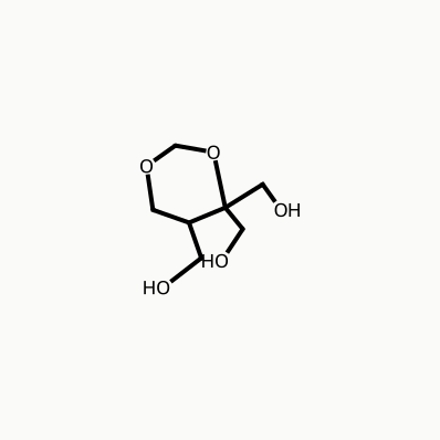 OCC1COCOC1(CO)CO